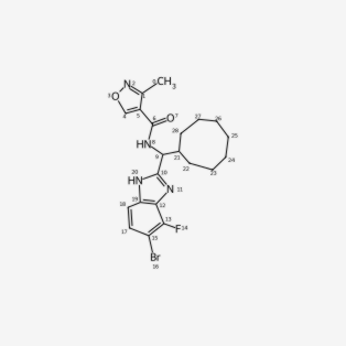 Cc1nocc1C(=O)NC(c1nc2c(F)c(Br)ccc2[nH]1)C1CCCCCCC1